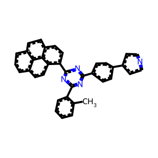 Cc1ccccc1-c1nc(-c2ccc(-c3ccncc3)cc2)nc(-c2ccc3ccc4cccc5ccc2c3c45)n1